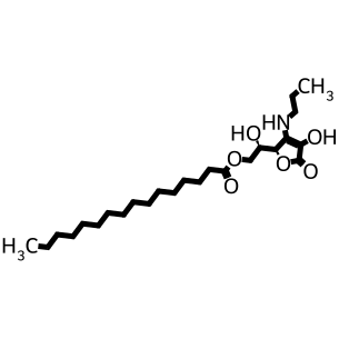 CCCCCCCCCCCCCCCC(=O)OC[C@H](O)[C@H]1OC(=O)C(O)=C1NCCC